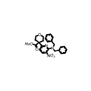 COC(=O)C1(c2ccc([N+](=O)[O-])c(N(Cc3ccccc3)Cc3ccccc3)n2)CCOCC1